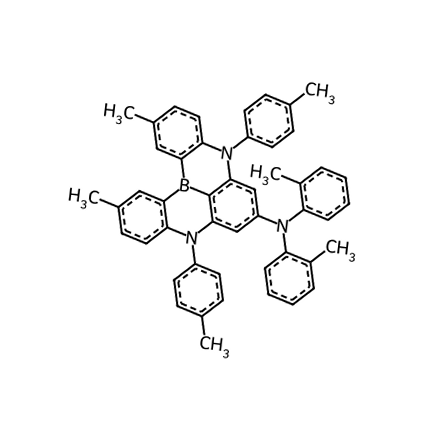 Cc1ccc(N2c3ccc(C)cc3B3c4cc(C)ccc4N(c4ccc(C)cc4)c4cc(N(c5ccccc5C)c5ccccc5C)cc2c43)cc1